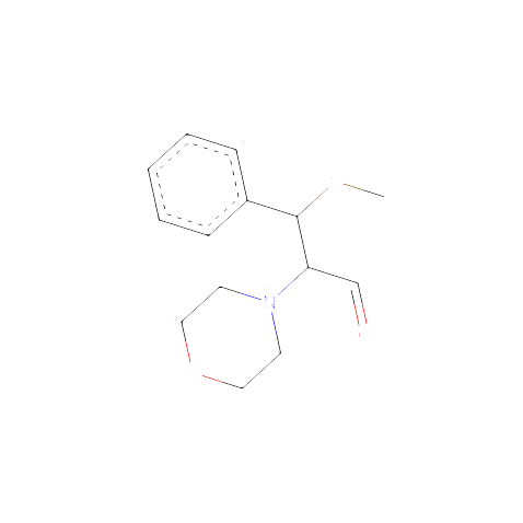 CSC(c1ccccc1)C(C=O)N1CCOCC1